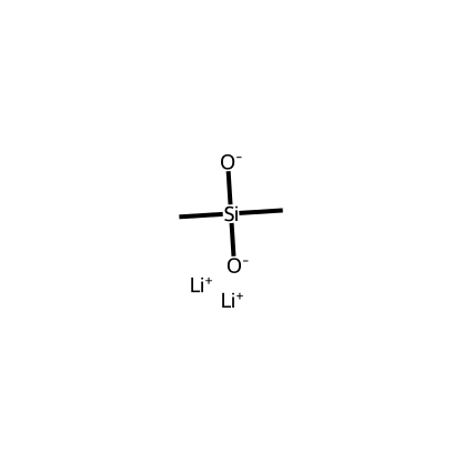 C[Si](C)([O-])[O-].[Li+].[Li+]